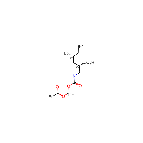 CCC(=O)O[C@@H](C)OC(=O)NC[C@@H](C[C@H](CC)CC(C)C)C(=O)O